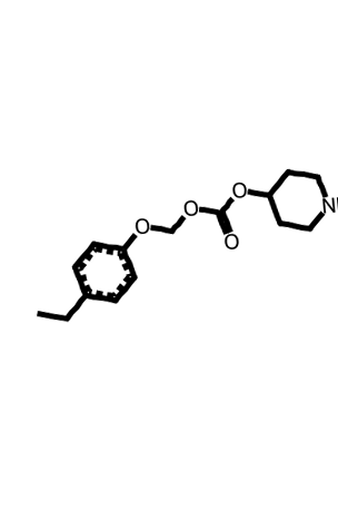 CCc1ccc(OCOC(=O)OC2CCNCC2)cc1